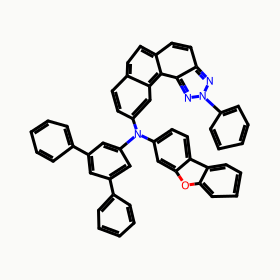 c1ccc(-c2cc(-c3ccccc3)cc(N(c3ccc4c(c3)oc3ccccc34)c3ccc4ccc5ccc6nn(-c7ccccc7)nc6c5c4c3)c2)cc1